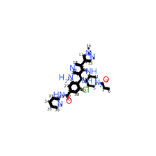 C=CC(=O)N1CCC[C@@H](Nc2c(-c3cnn(C)c3)cnc(N)c2C(=N)c2ccc(C(=O)Nc3ccccn3)cc2Cl)C1